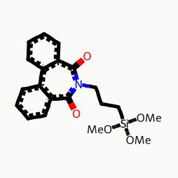 CO[Si](CCCn1c(=O)c2ccccc2c2ccccc2c1=O)(OC)OC